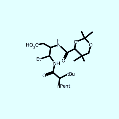 CCCCCC(C(=O)NC(CC)C(CC(=O)O)NC(=O)C1OC(C)(C)OCC1(C)C)C(C)(C)C